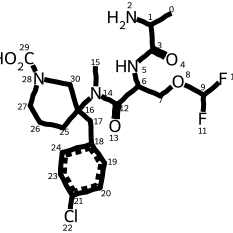 CC(N)C(=O)NC(COC(F)F)C(=O)N(C)C1(Cc2ccc(Cl)cc2)CCCN(C(=O)O)C1